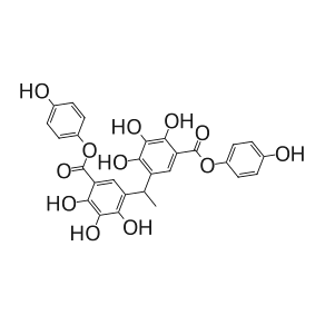 CC(c1cc(C(=O)Oc2ccc(O)cc2)c(O)c(O)c1O)c1cc(C(=O)Oc2ccc(O)cc2)c(O)c(O)c1O